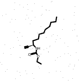 C#C[C@@H](CCCCCCCCC)NC(=O)OCC